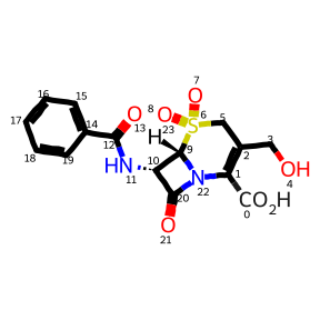 O=C(O)C1=C(CO)CS(=O)(=O)[C@H]2[C@@H](NC(=O)c3ccccc3)C(=O)N12